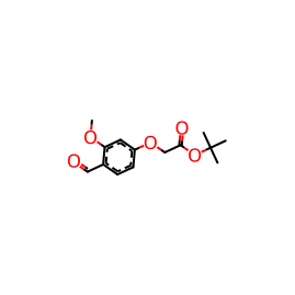 COc1cc(OCC(=O)OC(C)(C)C)ccc1C=O